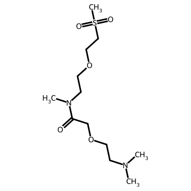 CN(C)CCOCC(=O)N(C)CCOCCS(C)(=O)=O